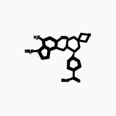 COC(=O)c1ccc([C@H]2CC3(CCN2Cc2c(OC)cc(C)c4c2ccn4C(=O)O)COC3)cc1